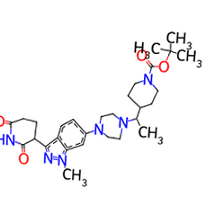 CC(C1CCN(C(=O)OC(C)(C)C)CC1)N1CCN(c2ccc3c(C4CCC(=O)NC4=O)nn(C)c3c2)CC1